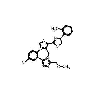 COCc1nnc2n1Cc1c(C3=N[C@@H](c4ccccc4C)CO3)ncn1-c1ccc(Cl)cc1-2